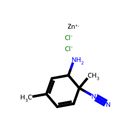 CC1=CC(N)C(C)([N+]#N)C=C1.[Cl-].[Cl-].[Zn+]